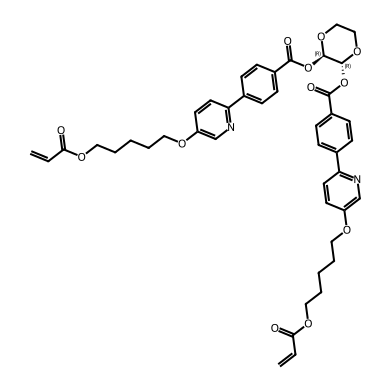 C=CC(=O)OCCCCCOc1ccc(-c2ccc(C(=O)O[C@H]3OCCO[C@@H]3OC(=O)c3ccc(-c4ccc(OCCCCCOC(=O)C=C)cn4)cc3)cc2)nc1